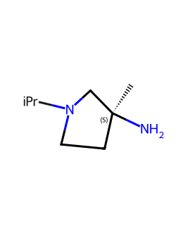 CC(C)N1CC[C@](C)(N)C1